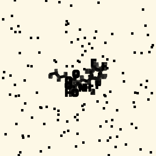 CCCCOC(=O)C(N)(CCc1cc(F)c(F)cc1F)C(=O)O